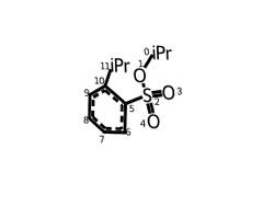 CC(C)OS(=O)(=O)c1ccccc1C(C)C